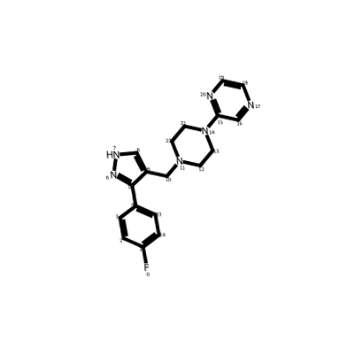 Fc1ccc(-c2n[nH]cc2CN2CCN(c3cnccn3)CC2)cc1